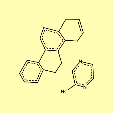 C1=CCc2c(ccc3c2CCc2ccccc2-3)C1.N#Cc1cnccn1